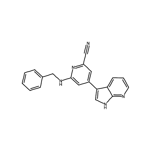 N#Cc1cc(-c2c[nH]c3ncccc23)cc(NCc2ccccc2)n1